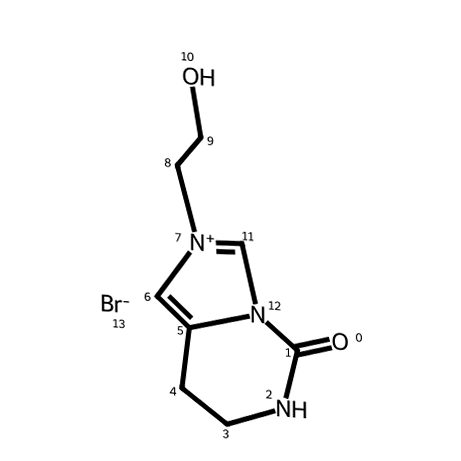 O=C1NCCc2c[n+](CCO)cn21.[Br-]